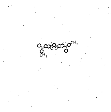 Cc1ccc(N(c2ccccc2)c2ccc3cc4c(cc3c2)oc2c4ccc3c4cc5ccc(N(c6ccc(C)cc6)C6CCCCC6)cc5cc4oc32)cc1